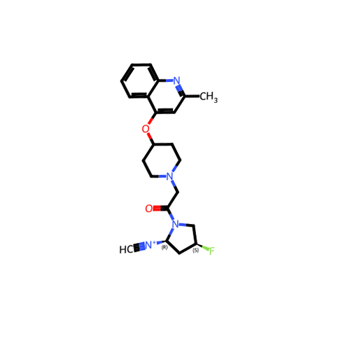 C#[N+][C@@H]1C[C@H](F)CN1C(=O)CN1CCC(Oc2cc(C)nc3ccccc23)CC1